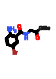 COC(=O)CNC(=O)c1cc(Br)ccc1N